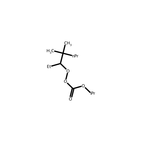 CCCC(C)(C)C(CC)OOC(=O)OC(C)C